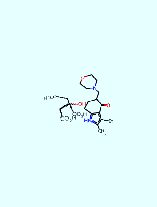 CCc1c(C)[nH]c2c1C(=O)C(CN1CCOCC1)CC2.O=C(O)CC(O)(CC(=O)O)C(=O)O